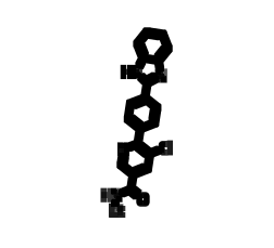 CCNC(=O)c1cnc(-c2ccc(-c3nc4ccccc4[nH]3)cc2)c(Cl)c1